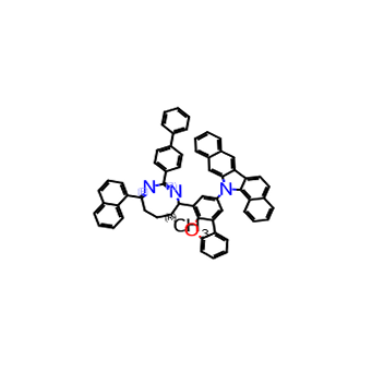 C[C@@H]1CC/C(c2cccc3ccccc23)=N\C(c2ccc(-c3ccccc3)cc2)=N/C1c1cc(-n2c3cc4ccccc4cc3c3ccc4ccccc4c32)cc2c1oc1ccccc12